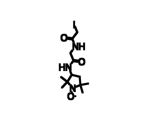 CC1(C)CC(NC(=O)CNC(=O)CI)C(C)(C)N1[O]